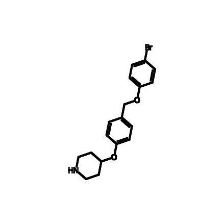 Brc1ccc(OCc2ccc(OC3CCNCC3)cc2)cc1